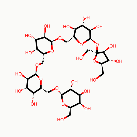 OC[C@H]1O[C@H](OC[C@H]2O[C@H](OC[C@H]3O[C@H](OC[C@H]4O[C@H](O[C@]5(CO)O[C@H](CO)[C@@H](O)[C@@H]5O)[C@H](O)[C@@H](O)[C@@H]4O)[C@H](O)[C@@H](O)[C@H]3O)[C@H](O)[C@@H](O)[C@H]2O)[C@H](O)[C@@H](O)[C@H]1O